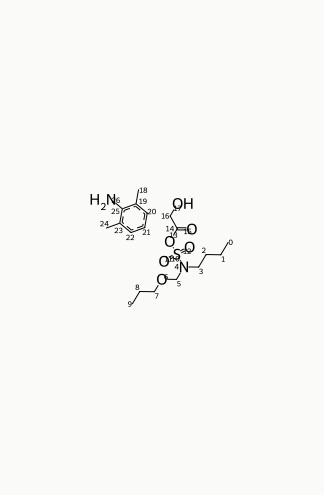 CCCCN(COCCC)S(=O)(=O)OC(=O)CO.Cc1cccc(C)c1N